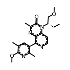 CC[C@@H](COC)n1c(=O)c(C)nc2c(-c3cc(C)c(OC)nc3C)nccc21